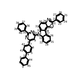 c1ccc(-c2ccc(-c3cc(-n4c5ccccc5c5c6oc(-c7ccccc7)nc6ccc54)nc(-c4ccccc4)n3)cc2)cc1